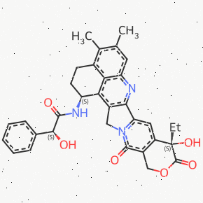 CC[C@@]1(O)C(=O)OCc2c1cc1n(c2=O)Cc2c-1nc1cc(C)c(C)c3c1c2[C@@H](NC(=O)[C@@H](O)c1ccccc1)CC3